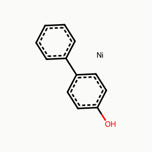 Oc1ccc(-c2ccccc2)cc1.[Ni]